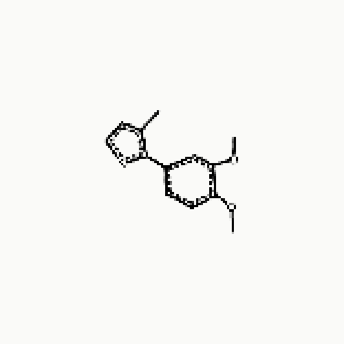 COc1ccc(-c2sccc2C)cc1OC